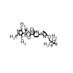 Cc1nn(C)c(C)c1S(=O)(=O)NC(=O)c1ccc(-n2ccc(OCC(C)(C)C(F)(F)F)n2)nc1Cl